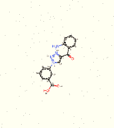 Nc1ccccc1C(=O)c1cn(-c2cccc(C(=O)O)c2)nn1